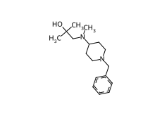 CN(CC(C)(C)O)C1CCN(Cc2ccccc2)CC1